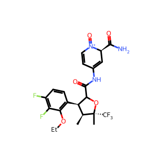 CCOc1c([C@H]2C(C(=O)NC3=C[C@H](C(N)=O)[N+](=O)C=C3)O[C@](C)(C(F)(F)F)[C@H]2C)ccc(F)c1F